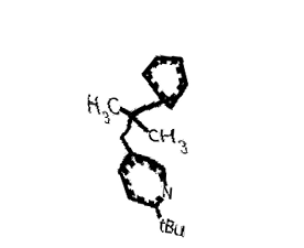 CC(C)(C)c1ccc(CC(C)(C)c2ccccc2)cn1